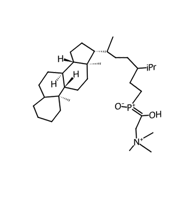 CC(C)C(CCC(C)[C@H]1CC[C@H]2[C@@H]3CCC4CCCC[C@]4(C)[C@H]3CC[C@]12C)CC/[P+]([O-])=C(\O)C[N+](C)(C)C